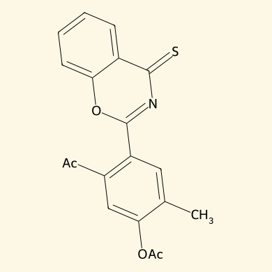 CC(=O)Oc1cc(C(C)=O)c(-c2nc(=S)c3ccccc3o2)cc1C